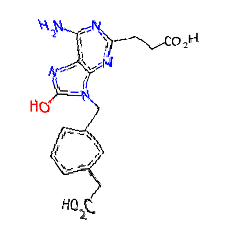 Nc1nc(CCC(=O)O)nc2c1nc(O)n2Cc1cccc(CC(=O)O)c1